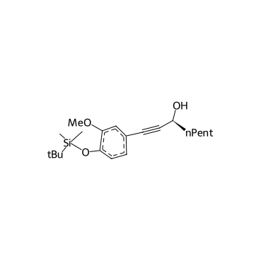 CCCCC[C@H](O)C#Cc1ccc(O[Si](C)(C)C(C)(C)C)c(OC)c1